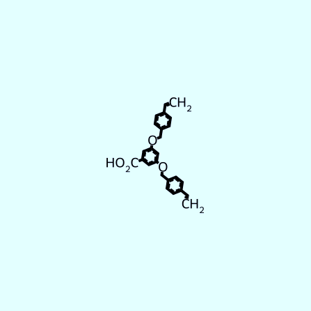 C=Cc1ccc(COc2cc(OCc3ccc(C=C)cc3)cc(C(=O)O)c2)cc1